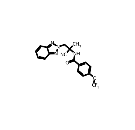 CC(C#N)(Cn1nc2ccccc2n1)NC(=O)c1ccc(OC(F)(F)F)cc1